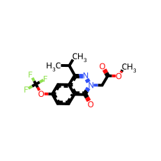 COC(=O)Cn1nc(C(C)C)c2cc(OC(F)(F)F)ccc2c1=O